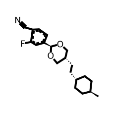 C[C@H]1CC[C@H](CC[C@H]2CO[C@H](c3ccc(C#N)c(F)c3)OC2)CC1